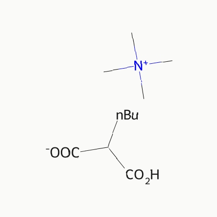 CCCCC(C(=O)[O-])C(=O)O.C[N+](C)(C)C